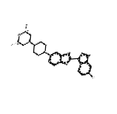 C[C@@H]1CN(C2CCN(c3ccc4nc(-c5n[nH]c6cc(Cl)ccc56)[nH]c4c3)CC2)C[C@H](C)O1